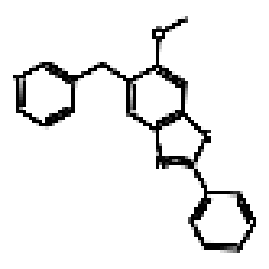 COc1cc2sc(-c3ccccc3)nc2cc1Cc1c[c]ccc1